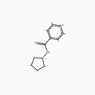 O=C(ON1CCCC1)c1ccncc1